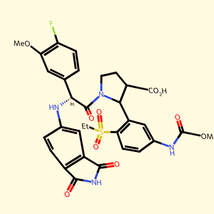 CCS(=O)(=O)c1ccc(NC(=O)OC)cc1C1C(C(=O)O)CCN1C(=O)[C@H](Nc1ccc2c(c1)C(=O)NC2=O)c1ccc(F)c(OC)c1